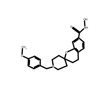 COc1ccc(CN2CCC3(CCc4ccc(C(=O)NO)cc4O3)CC2)cc1